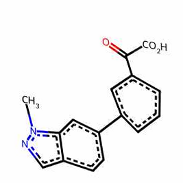 Cn1ncc2ccc(-c3cccc(C(=O)C(=O)O)c3)cc21